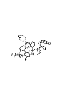 CC(C)(C)OC(=O)N1CCN2c3cc(F)c(Cl)c(-c4c(C(N)=O)ccc(NC5CCOCC5)c4F)c3CC2(c2ccccc2)C1